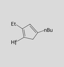 CCCCC1=CC(CC)=[C]([Hf])C1